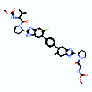 COC(=O)NCC(=O)N1CCC[C@H]1c1nc2cc(F)c(-c3ccc(-c4cc5[nH]c([C@@H]6CCCN6C(=O)C(NC(=O)OC)C(C)C)nc5cc4F)cc3)cc2[nH]1